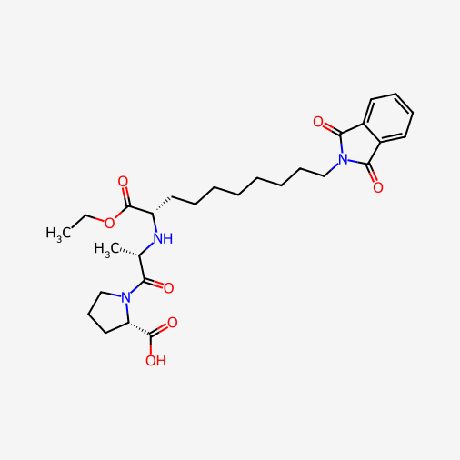 CCOC(=O)[C@H](CCCCCCCCN1C(=O)c2ccccc2C1=O)N[C@@H](C)C(=O)N1CCC[C@H]1C(=O)O